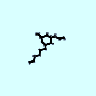 C=COCCCC1CC(CC)OC(OC=C)C1